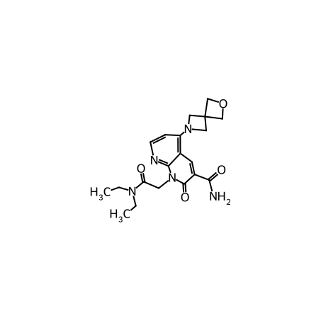 CCN(CC)C(=O)Cn1c(=O)c(C(N)=O)cc2c(N3CC4(COC4)C3)ccnc21